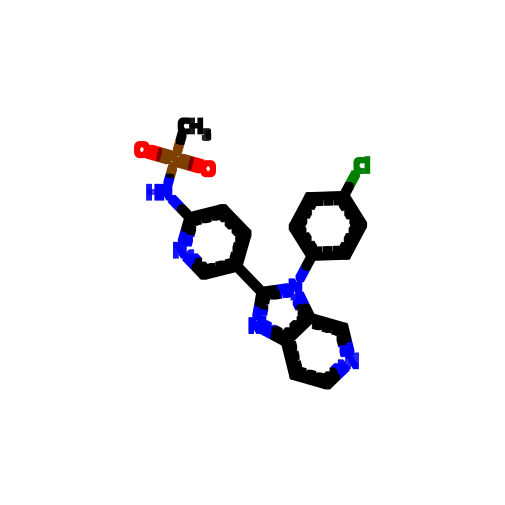 CS(=O)(=O)Nc1ccc(-c2nc3ccncc3n2-c2ccc(Cl)cc2)cn1